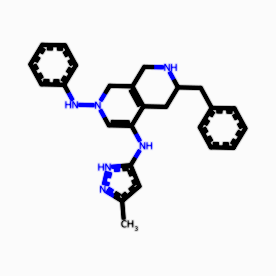 Cc1cc(NC2=CN(Nc3ccccc3)CC3=C2CC(Cc2ccccc2)NC3)[nH]n1